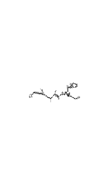 [CH2]CCC=CN(C)C=O